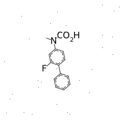 CN(C(=O)O)c1ccc(-c2ccccc2)c(F)c1